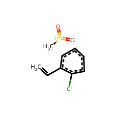 C=Cc1ccccc1Cl.C[SH](=O)=O